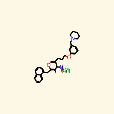 CC1=C(Cc2cccc3ccccc23)OC=C(CCCOc2cccc(CN3CCCCC3)c2)C1N=O.Cl.Cl